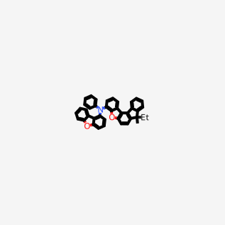 CCC1(C)c2ccccc2-c2c1ccc1oc3c(N(c4ccccc4)c4cccc5oc6ccccc6c45)cccc3c21